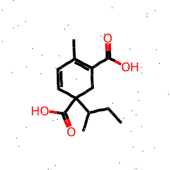 CCC(C)C1(C(=O)O)C=CC(C)=C(C(=O)O)C1